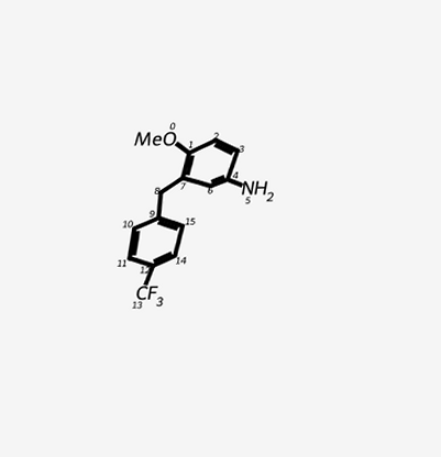 COc1ccc(N)cc1Cc1ccc(C(F)(F)F)cc1